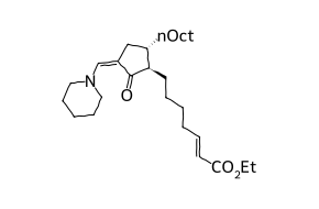 CCCCCCCC[C@H]1CC(=CN2CCCCC2)C(=O)[C@@H]1CCCCC=CC(=O)OCC